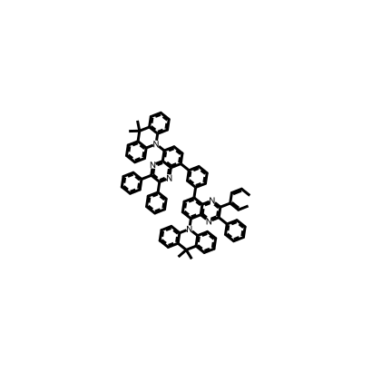 C/C=C\C(=C/C)c1nc2c(-c3cccc(-c4ccc(N5c6ccccc6C(C)(C)c6ccccc65)c5nc(-c6ccccc6)c(-c6ccccc6)nc45)c3)ccc(N3c4ccccc4C(C)(C)c4ccccc43)c2nc1-c1ccccc1